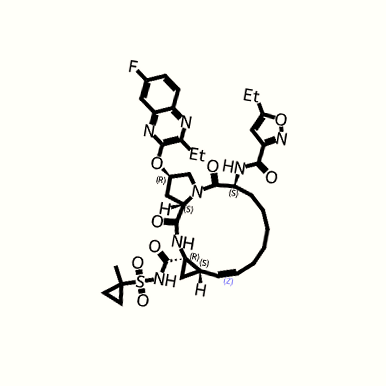 CCc1cc(C(=O)N[C@H]2CCCCC/C=C\[C@@H]3C[C@@]3(C(=O)NS(=O)(=O)C3(C)CC3)NC(=O)[C@@H]3C[C@@H](Oc4nc5cc(F)ccc5nc4CC)CN3C2=O)no1